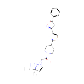 CCC1(C(F)(F)F)C=CN(CC(=O)N2CCC(c3nc(C4=NO[C@@H](c5ccccc5)C4)cs3)CC2)N1